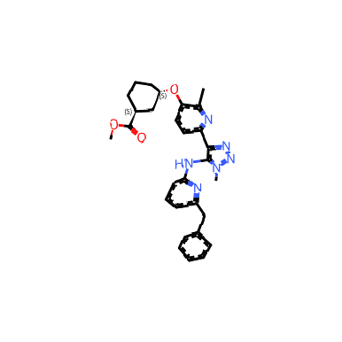 COC(=O)[C@H]1CCC[C@H](Oc2ccc(-c3nnn(C)c3Nc3cccc(Cc4ccccc4)n3)nc2C)C1